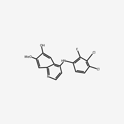 COc1cc2nccc(Nc3ccc(Cl)c(Cl)c3F)c2cc1O